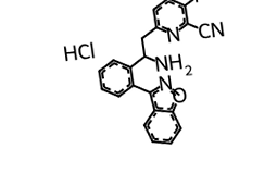 Cl.N#Cc1nc(CC(N)c2ccccc2-c2noc3ccccc23)ccc1F